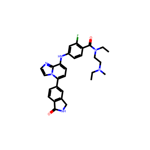 CCN(C)CCN(CC)C(=O)c1ccc(Nc2ccc(-c3ccc4c(c3)CNC4=O)n3ccnc23)cc1F